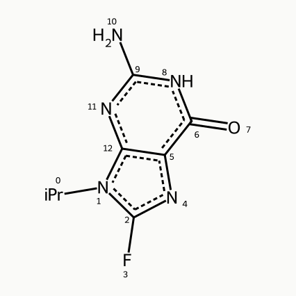 CC(C)n1c(F)nc2c(=O)[nH]c(N)nc21